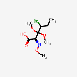 CCC(Br)C(OC)(OC)C(=NOC)C(=O)O